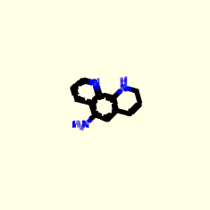 Nc1cc2c(c3ncccc13)NCC=C2